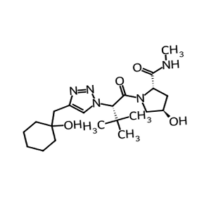 CNC(=O)[C@@H]1C[C@@H](O)CN1C(=O)[C@@H](n1cc(CC2(O)CCCCC2)nn1)C(C)(C)C